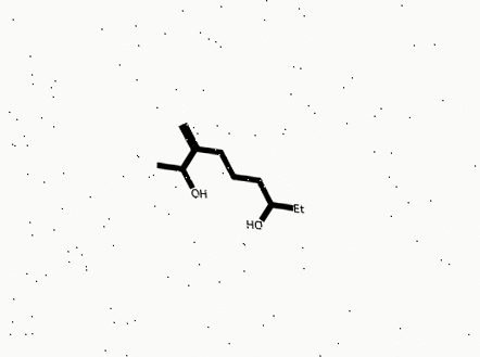 C=C(CCCC(O)CC)C(C)O